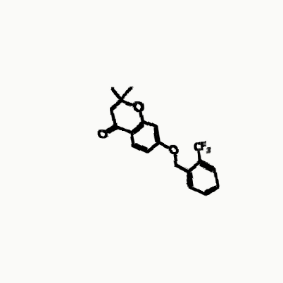 CC1(C)CC(=O)c2ccc(OCc3ccccc3C(F)(F)F)cc2O1